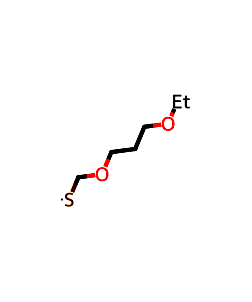 CCOCCCOC[S]